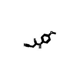 COc1ccc(NC(=S)CC#N)cc1